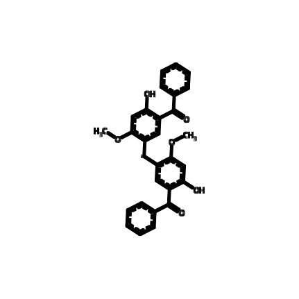 COc1cc(O)c(C(=O)c2ccccc2)cc1[C]c1cc(C(=O)c2ccccc2)c(O)cc1OC